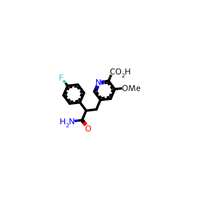 COc1cc(CC(C(N)=O)c2ccc(F)cc2)cnc1C(=O)O